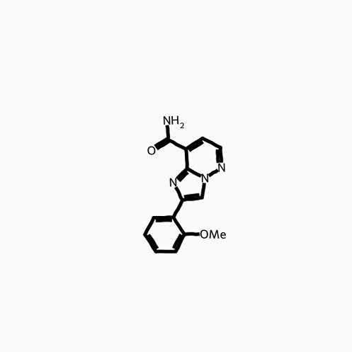 COc1ccccc1-c1cn2nccc(C(N)=O)c2n1